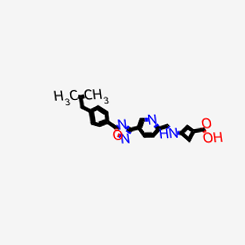 CC(C)Cc1ccc(-c2nc(-c3ccc(CNC4CC(C(=O)O)C4)nc3)no2)cc1